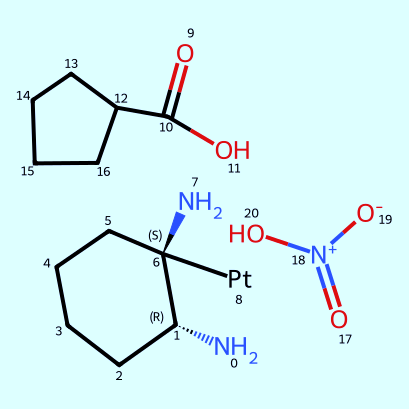 N[C@@H]1CCCC[C@]1(N)[Pt].O=C(O)C1CCCC1.O=[N+]([O-])O